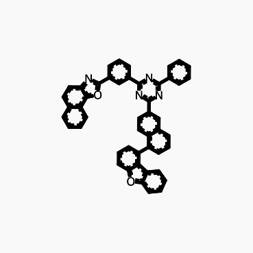 c1ccc(-c2nc(-c3cccc(-c4nc5ccc6ccccc6c5o4)c3)nc(-c3ccc4c(-c5cccc6oc7ccccc7c56)cccc4c3)n2)cc1